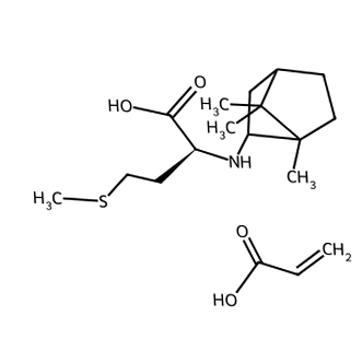 C=CC(=O)O.CSCC[C@H](NC1CC2CCC1(C)C2(C)C)C(=O)O